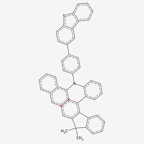 CC1(C)c2ccccc2-c2c(-c3ccccc3N(c3ccc(-c4ccc5sc6ccccc6c5c4)cc3)c3cccc4ccccc34)cccc21